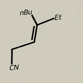 CCCC/C(=C\CC#N)CC